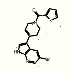 O=C(c1cccs1)N1CC=C(c2c[nH]c3ncc(Br)cc23)CC1